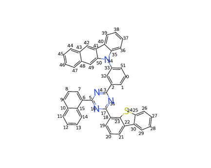 c1cc(-c2nc(-c3cccc4ccccc34)nc(-c3cccc4c3sc3ccccc34)n2)cc(-n2c3ccccc3c3cc4ccccc4cc32)c1